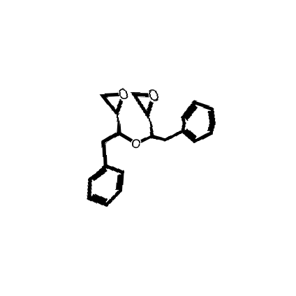 c1ccc(CC(OC(Cc2ccccc2)[C@H]2CO2)[C@H]2CO2)cc1